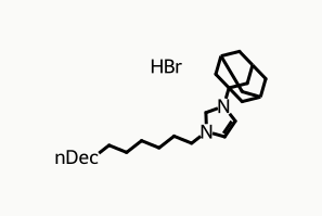 Br.CCCCCCCCCCCCCCCCN1C=CN(C23CC4CC(CC(C4)C2)C3)C1